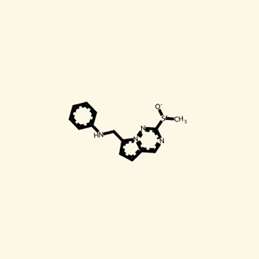 C[S+]([O-])c1ncc2ccc(CNc3ccccc3)n2n1